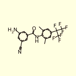 Cc1cc(C(F)(C(F)(F)F)C(F)(F)F)cc(C)c1NC(=O)c1cc(N)cc(C#N)c1